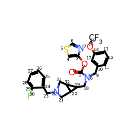 O=C(Oc1cscn1)N(Cc1cccc(OC(F)(F)F)c1)CC1C2CN(Cc3ccccc3F)CC21